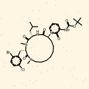 CC(C)C[C@@H]1NC(=O)[C@@H](n2cccc(NC(=O)OC(C)(C)C)c2=O)CCCCCCCN(C)C(=O)[C@H](Cc2cc(Cl)ccc2Br)N(C)C1=O